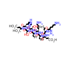 CSCC[C@H](NC(=O)[C@@H](N)CCCCN)C(=O)N[C@@H](CCC(=O)O)C(=O)N[C@@H](CC(C)C)C(=O)N[C@@H](CCCCN)C(=O)N[C@@H](CC(C)C)C(=O)N[C@@H](CO)C(=O)N[C@@H](CO)C(=O)N[C@@H](Cc1c[nH]cn1)C(=O)N[C@@H](CCC(=O)O)C(=O)O